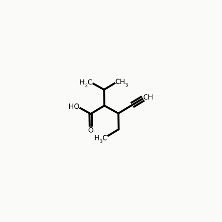 C#CC(CC)C(C(=O)O)C(C)C